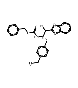 NCc1ccc(C[C@H](NC(=O)OCc2ccccc2)C(O)c2nc3ccccc3o2)cc1